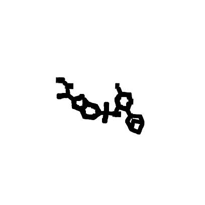 O=C(NO)c1cc2ccc(S(=O)(=O)Nc3cc(F)cnc3N3CC4CC(C4)C3)cc2o1